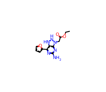 CCOC(=O)CN1NNc2c(-c3ccco3)nc(N)nc21